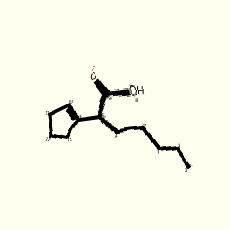 CCCCCC(C(=O)O)C1=CCCC1